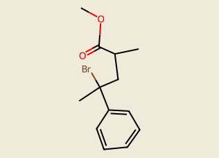 COC(=O)C(C)CC(C)(Br)c1ccccc1